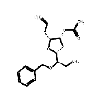 C=CC[C@H]1O[C@@H]([C@@H](CC)OCc2ccccc2)C[C@H]1OC(C)=O